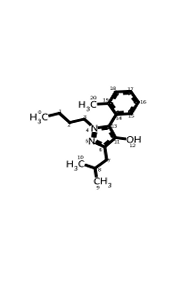 CCCCn1nc(CC(C)C)c(O)c1-c1ccccc1C